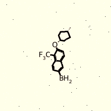 Bc1ccc2c(C(F)(F)F)c(O[C@H]3CC[C@@H](C)CC3)ccc2c1